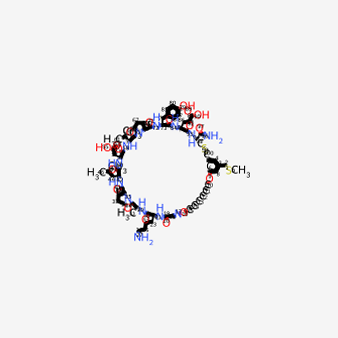 CSCc1cc2cc(c1)OCCCCCCO/N=C/C(=O)N[C@@H](CCCCN)C(=O)N[C@@H](C)C(=O)N1CCC[C@H]1C(=O)N[C@@H](CC(C)C)C(=O)N[C@@H](CC(=O)O)C(=O)N[C@@H](C(C)C)C(=O)N1CCC[C@H]1C(=O)N[C@@H](Cc1ccc(O)cc1)C(=O)N[C@@H](CCC(=O)O)C(=O)N[C@H](C(N)=O)CSC2